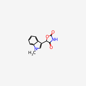 Cn1cc(C2OC(=O)NC2=O)c2ccccc21